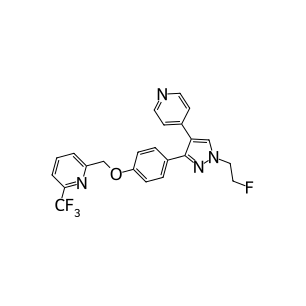 FCCn1cc(-c2ccncc2)c(-c2ccc(OCc3cccc(C(F)(F)F)n3)cc2)n1